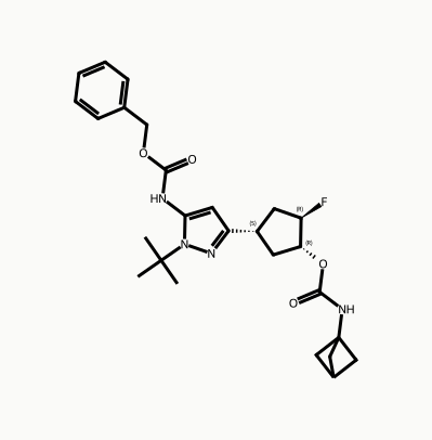 CC(C)(C)n1nc([C@@H]2C[C@@H](F)[C@H](OC(=O)NC34CC(C3)C4)C2)cc1NC(=O)OCc1ccccc1